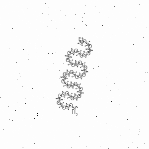 CC[Si](C)(C)O[Si](C)(C)O[Si](C)(C)O[Si](C)(C)O[Si](C)(C)O[Si](C)(C)O[Si](C)(C)O[Si](C)(C)O[Si](C)(C)O[Si](C)(C)O[Si](C)(C)O[Si](C)(C)O[Si](C)(C)O[Si](C)(C)O[Si](C)(C)O[Si](C)(C)O[Si](C)(C)O[Si](C)(C)O[Si](C)(C)O[Si](C)(C)O[Si](C)(C)O[Si](C)(C)O[Si](C)(C)O[Si](C)(C)O[Si](C)(C)O[SiH2]C